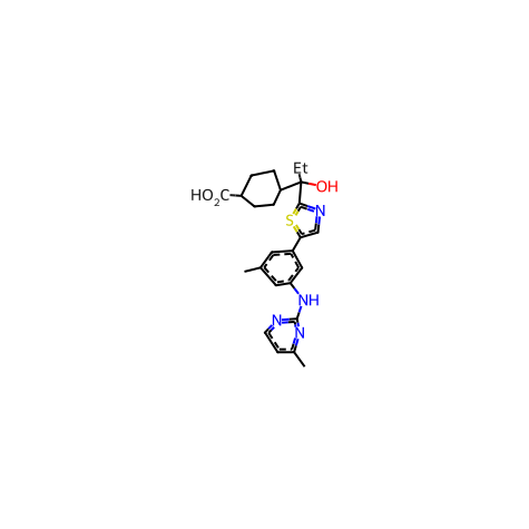 CCC(O)(c1ncc(-c2cc(C)cc(Nc3nccc(C)n3)c2)s1)C1CCC(C(=O)O)CC1